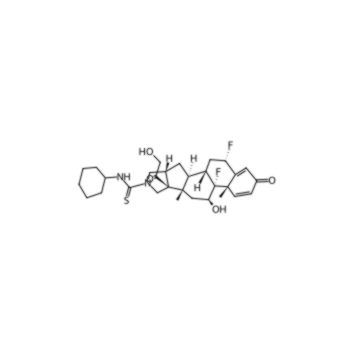 C[C@]12C=CC(=O)C=C1[C@@H](F)C[C@H]1[C@@H]3C[C@H]4CN(C(=S)NC5CCCCC5)C[C@@]4(C(=O)CO)[C@@]3(C)C[C@H](O)[C@@]12F